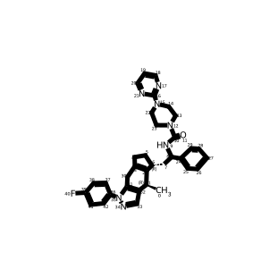 C[C@@H]1C2=C(CC[C@@H]2CC(NC(=O)N2CCN(c3ncccn3)CC2)c2ccccc2)Cc2c1cnn2-c1ccc(F)cc1